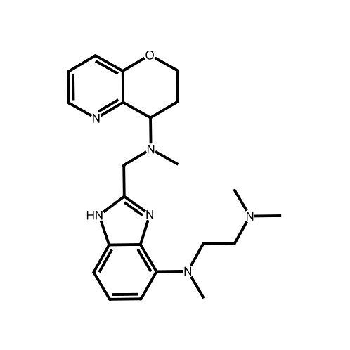 CN(C)CCN(C)c1cccc2[nH]c(CN(C)C3CCOc4cccnc43)nc12